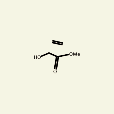 C=C.COC(=O)CO